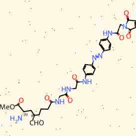 COC(=O)[C@@H](N)C[C@H](C=O)CCCC(=O)NCC(=O)NCC(=O)Nc1ccc(/N=N/c2ccc(NC(=O)CN3C(=O)C=CC3=O)cc2)cc1